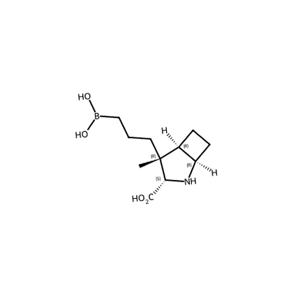 C[C@]1(CCCB(O)O)[C@@H](C(=O)O)N[C@@H]2CC[C@@H]21